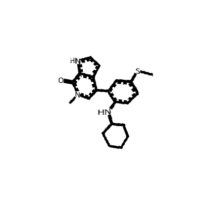 CSc1ccc(NC2CCCCC2)c(-c2cn(C)c(=O)c3[nH]ccc23)c1